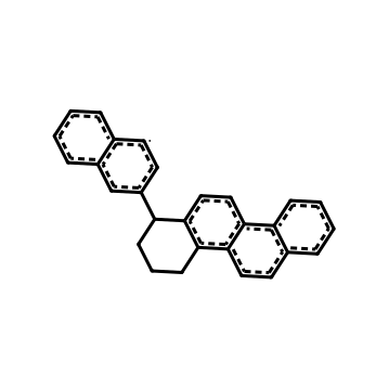 [c]1cc(C2CCCc3c2ccc2c3ccc3ccccc32)cc2ccccc12